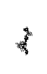 CC(NC(=O)C(CCc1ccccc1)NC(=O)OC(C)(C)C)C(=O)NCc1ccc(CNC(=O)OCc2ccccc2)nc1